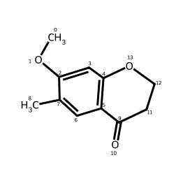 COc1cc2c(cc1C)C(=O)CCO2